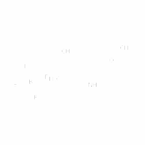 COCC([NH3+])C(C)C.F[B-](F)(F)F